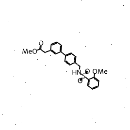 COC(=O)Cc1cccc(-c2ccc(CNS(=O)(=O)c3ccccc3OC)cc2)c1